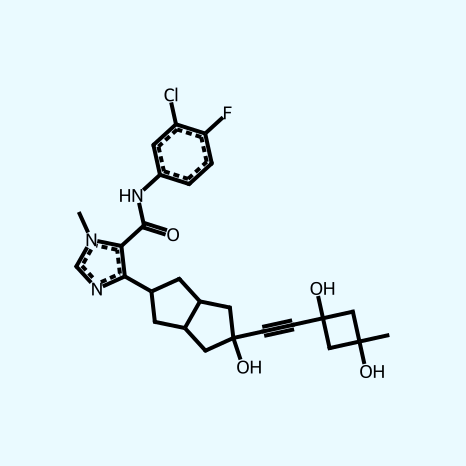 Cn1cnc(C2CC3CC(O)(C#CC4(O)CC(C)(O)C4)CC3C2)c1C(=O)Nc1ccc(F)c(Cl)c1